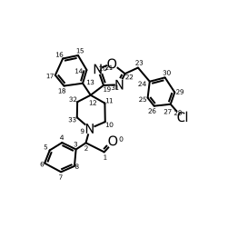 O=CC(c1ccccc1)N1CCC(c2ccccc2)(c2noc(Cc3ccc(Cl)cc3)n2)CC1